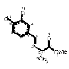 COC(=O)[C@H](C)N=Cc1ccc(Cl)c(Cl)c1